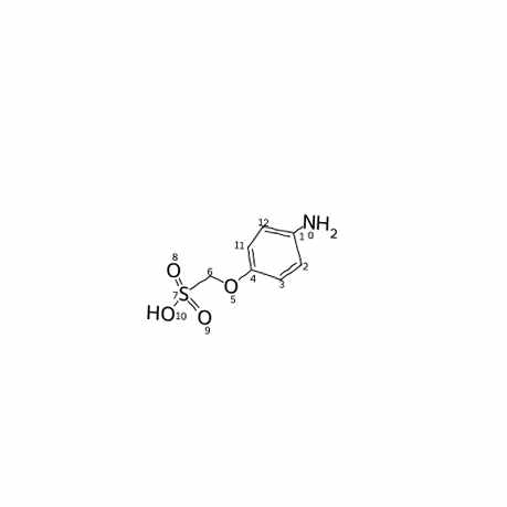 Nc1ccc(OCS(=O)(=O)O)cc1